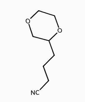 N#CCCCC1COCCO1